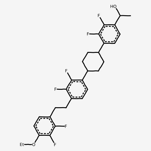 CCOc1ccc(CCc2ccc(C3CCC(c4ccc(C(C)O)c(F)c4F)CC3)c(F)c2F)c(F)c1F